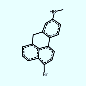 CBc1ccc2c(c1)Cc1cccc3c(Br)ccc-2c13